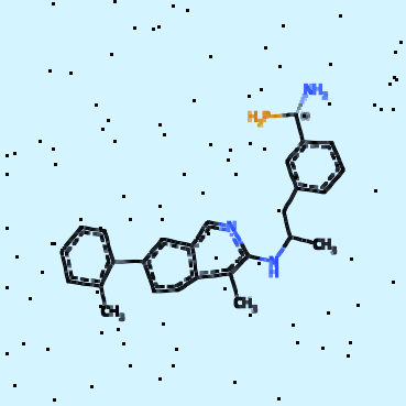 Cc1ccccc1-c1ccc2c(C)c(NC(C)Cc3cccc([C@@H](N)P)c3)ncc2c1